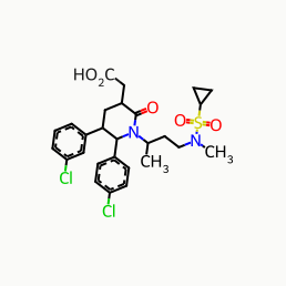 CC(CCN(C)S(=O)(=O)C1CC1)N1C(=O)C(CC(=O)O)CC(c2cccc(Cl)c2)C1c1ccc(Cl)cc1